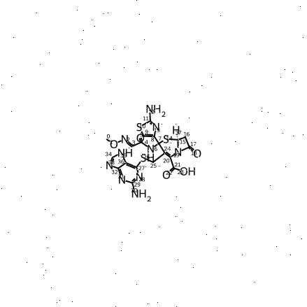 CON=CC(=O)NC1(c2csc(N)n2)S[C@H]2CC(=O)N2C(C(=O)O)=C1CSc1nc(N)nc2nc[nH]c12